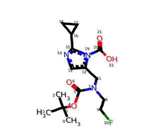 CC(C)(C)OC(=O)N(CCF)Cc1cnc(C2CC2)n1C(=O)O